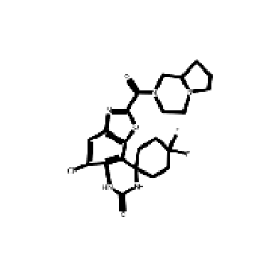 O=C1Nc2c(Cl)cc3nc(C(=O)N4CCN5CCCC5C4)oc3c2C2(CCC(F)(F)CC2)N1